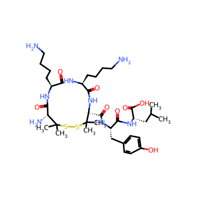 CC(C)C[C@H](NC(=O)[C@H](Cc1ccc(O)cc1)NC(=O)[C@H]1NC(=O)[C@H](CCCCN)NC(=O)[C@H](CCCCN)NC(=O)[C@@H](N)C(C)(C)SSC1(C)C)C(=O)O